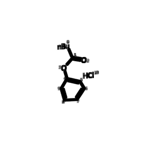 CCCCC(=O)Oc1ccccc1.Cl